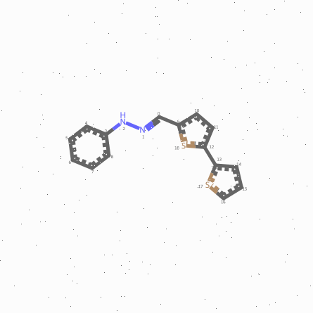 C(=N\Nc1ccccc1)/c1ccc(-c2cccs2)s1